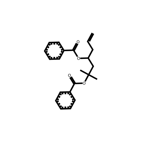 C=CCC(CC(C)(C)OC(=O)c1ccccc1)OC(=O)c1ccccc1